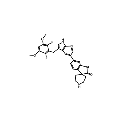 COc1cc(OC)c(F)c(Cc2c[nH]c3ncc(-c4ccc5c(c4)NC(=O)C54CCNCC4)cc23)c1F